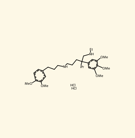 CCNCC(CCCNCCCc1ccc(OC)c(OC)c1)(c1cc(OC)c(OC)c(OC)c1)C(C)C.Cl.Cl